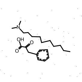 CCCCCCCCCCN(C)C.O=C(O)C(=O)Cc1ccccc1